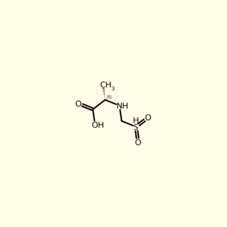 C[C@H](NC[SH](=O)=O)C(=O)O